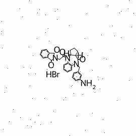 Br.Nc1cccc(CN2C(=O)[C@H]3CCC[C@H]3N(C(=O)CN3C(=O)c4ccccc4C3=O)c3ccccc32)c1